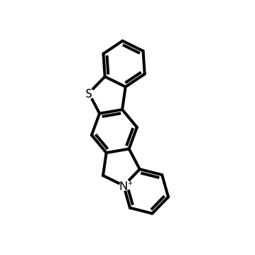 c1cc[n+]2c(c1)-c1cc3c(cc1C2)sc1ccccc13